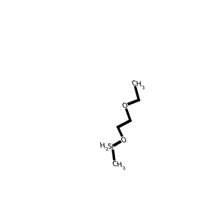 CCOCCO[SiH2]C